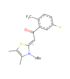 CCCCN1C(C)=C(C)S/C1=C\C(=O)c1cc(F)ccc1C(F)(F)F